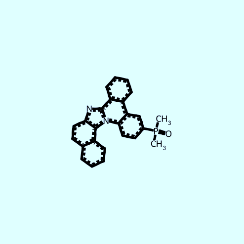 CP(C)(=O)c1ccc2c(c1)c1ccccc1c1nc3ccc4ccccc4c3n21